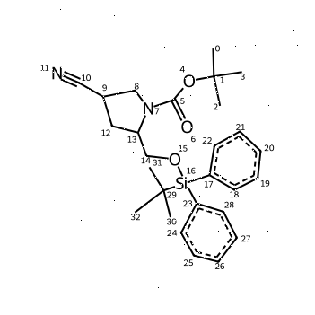 CC(C)(C)OC(=O)N1CC(C#N)CC1CO[Si](c1ccccc1)(c1ccccc1)C(C)(C)C